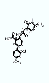 Cc1ccc(-c2ccc(NC(=O)Cc3cnc(C)[nH]c3=O)c(C(=O)O)c2)c(Cl)c1